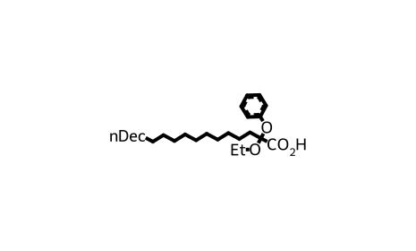 CCCCCCCCCCCCCCCCCCCCC(OCC)(Oc1ccccc1)C(=O)O